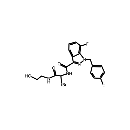 CC(C)(C)C(NC(=O)c1nn(Cc2ccc(F)cc2)c2c(F)cccc12)C(=O)NCCO